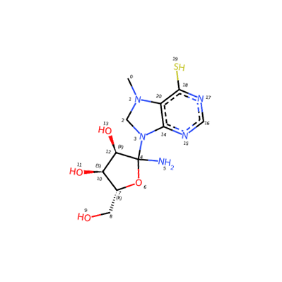 CN1CN(C2(N)O[C@H](CO)[C@@H](O)[C@H]2O)c2ncnc(S)c21